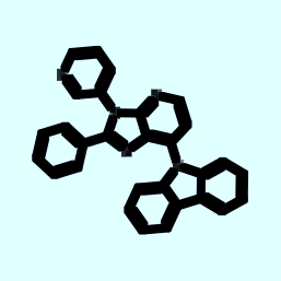 c1ccc(-c2nc3c(-n4c5ccccc5c5ccccc54)ccnc3n2-c2cccnc2)cc1